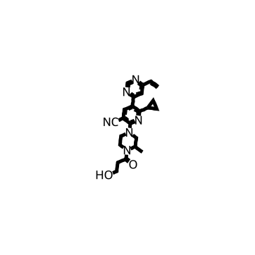 C=Cc1cc(-c2cc(C#N)c(N3CCN(C(=O)CCO)C(C)C3)nc2C2CC2)ncn1